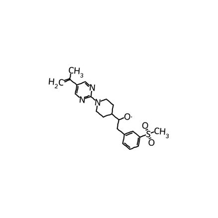 C=C(C)c1cnc(N2CCC(C([O])Cc3cccc(S(C)(=O)=O)c3)CC2)nc1